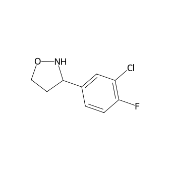 Fc1ccc(C2CCON2)cc1Cl